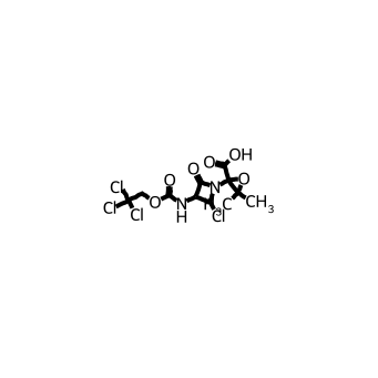 CC1(C)OC1(C(=O)O)N1C(=O)C(NC(=O)OCC(Cl)(Cl)Cl)C1Cl